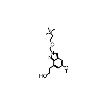 COc1cc(CCO)c2nn(COCC[Si](C)(C)C)cc2c1